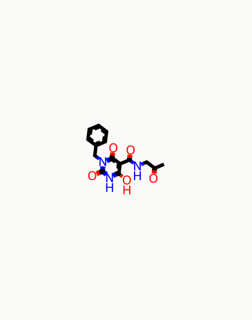 CC(=O)CNC(=O)c1c(O)[nH]c(=O)n(Cc2ccccc2)c1=O